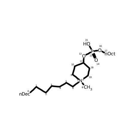 CCCCCCCCCCCCCCCC[N+]1(C)CCC(OP(=O)(O)OCCCCCCCC)CC1